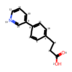 O=C(O)CCc1ccc(-c2cccnc2)cc1